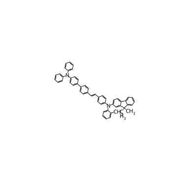 Cc1ccccc1N(c1ccc(/C=C/c2ccc(-c3ccc(N(c4ccccc4)c4ccccc4)cc3)cc2)cc1)c1ccc2c(c1)C(C)(C)c1ccccc1-2